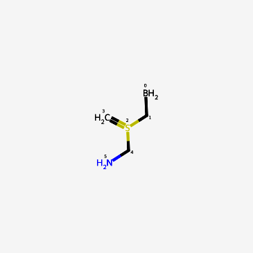 BCS(=C)CN